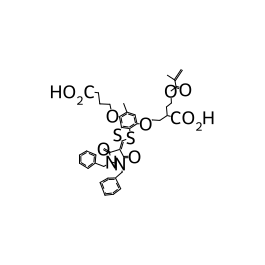 C=C(C)C(=O)OCCC(CCOc1cc(C)c(OCCCC(=O)O)c2c1SC(=C1C(=O)N(Cc3ccccc3)N(Cc3ccccc3)C1=O)S2)C(=O)O